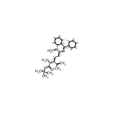 C=N/C(=C\C=C(/C(=C)C)N(C)C(=O)OC(C)(C)C)N=C(c1ccccc1)c1ccccc1